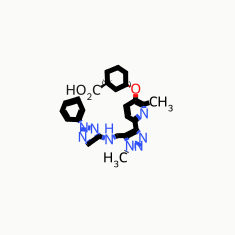 Cc1nc(-c2nnn(C)c2CNc2cnn(-c3ccccc3)n2)ccc1O[C@H]1CCC[C@H](C(=O)O)C1